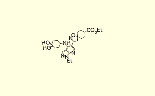 CCOC(=O)C1CCC2(CC1)CC(c1cnc3c(cnn3CC)c1NC1CCS(O)(O)CC1)=NO2